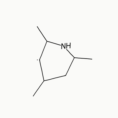 CC1[CH]C(C)NC(C)C1